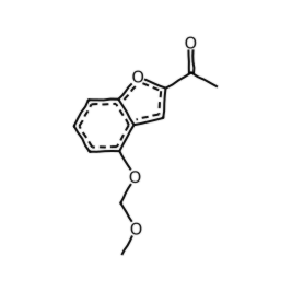 COCOc1cccc2oc(C(C)=O)cc12